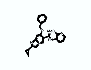 COc1ncccc1NC(=O)c1cn2cc(C3CC3)nc2cc1OCc1ccccc1